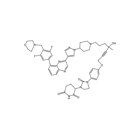 CC(O)(C#CCOc1ccc(N2CCN(C3CCC(=O)NC3=O)C2=O)cc1)CCCN1CCC(n2cc(-c3cnc4cccc(-c5cc(F)c(CN6CCOCC6)c(F)c5)c4n3)cn2)CC1